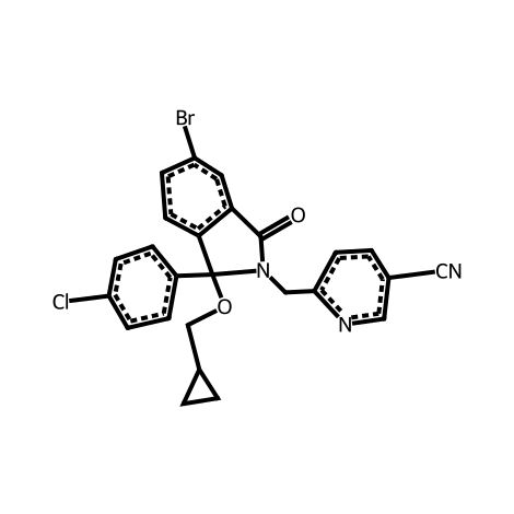 N#Cc1ccc(CN2C(=O)c3cc(Br)ccc3C2(OCC2CC2)c2ccc(Cl)cc2)nc1